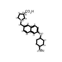 CCCCC1CCC(Oc2ccc3cc(CN4CC[C@@H](C(=O)O)C4)ccc3c2)CC1